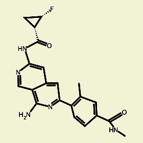 CNC(=O)c1ccc(-c2cc3cc(NC(=O)[C@@H]4C[C@@H]4F)ncc3c(N)n2)c(C)c1